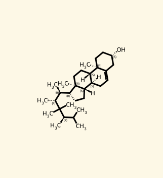 CC(C)[C@@H](C)C(C)(C)[C@H](C)[C@@H](C)[C@H]1CC[C@H]2[C@@H]3CC=C4C[C@@H](O)CC[C@]4(C)[C@H]3CC[C@]12C